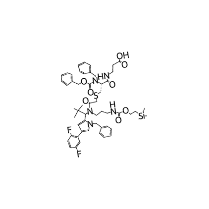 CC(C)(C)[C@H](c1cc(-c2cc(F)ccc2F)cn1Cc1ccccc1)N(CCCNC(=O)OCC[Si](C)(C)C)C(=O)CSC[C@@H](C(=O)NCCC(=O)O)N(Cc1ccccc1)C(=O)OCc1ccccc1